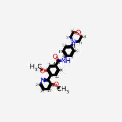 COc1cc(C(=O)Nc2ccc(N3CCOCC3)cc2)ccc1-c1ncccc1OC